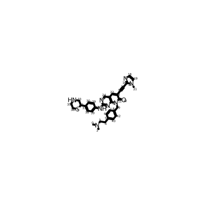 CN(C)CCc1ccc(Cn2c(=O)c(C#Cc3nccn3C)cc3cnc(Nc4ccc(C5CNCCS5)cc4)nc32)cc1